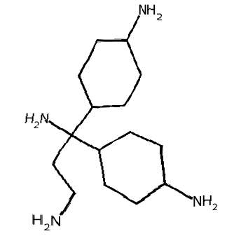 NCCC(N)(C1CCC(N)CC1)C1CCC(N)CC1